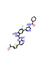 CC(=O)c1ccc(-c2ccnc3[nH]c(-c4n[nH]c5cc(F)c(-c6cncc(NC(=O)C7CCCCC7)c6)cc45)nc23)s1